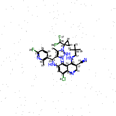 CC1=C([C@@H](Nc2cc(Cl)c3ncc(C#N)c(NCC(C)(C)C)c3c2)c2ccc(F)nc2C)NNN1C1(C(F)F)CC1